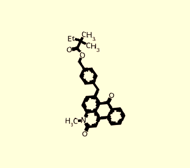 CCC(C)(C)C(=O)OCc1ccc(Cc2ccc3c4c(cc(=O)n3C)-c3ccccc3C(=O)c24)cc1